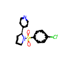 O=S(=O)(c1ccc(Cl)cc1)N1CCCC1c1ccncc1